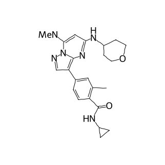 CNc1cc(NC2CCOCC2)nc2c(-c3ccc(C(=O)NC4CC4)c(C)c3)cnn12